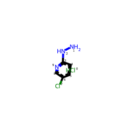 Cl.NNc1ccc(Cl)cn1